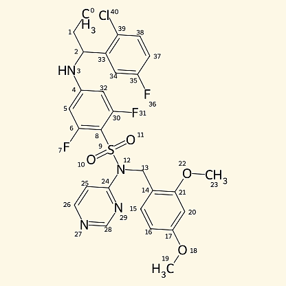 CCC(Nc1cc(F)c(S(=O)(=O)N(Cc2ccc(OC)cc2OC)c2ccncn2)c(F)c1)c1cc(F)ccc1Cl